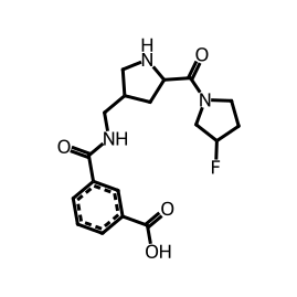 O=C(O)c1cccc(C(=O)NCC2CNC(C(=O)N3CCC(F)C3)C2)c1